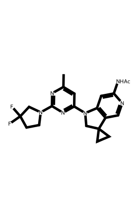 CC(=O)Nc1cc2c(cn1)C1(CC1)CN2c1cc(C)nc(N2CCC(F)(F)C2)n1